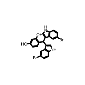 Oc1ccc(C(c2c[nH]c3ccc(Br)cc23)c2c[nH]c3ccc(Br)cc23)c(O)c1